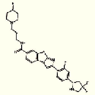 O=C(NCCCN1CCC(F)CC1)c1ccc2c(c1)sc1nc(-c3ccc(C4CC(F)(F)CN4)cc3F)cn12